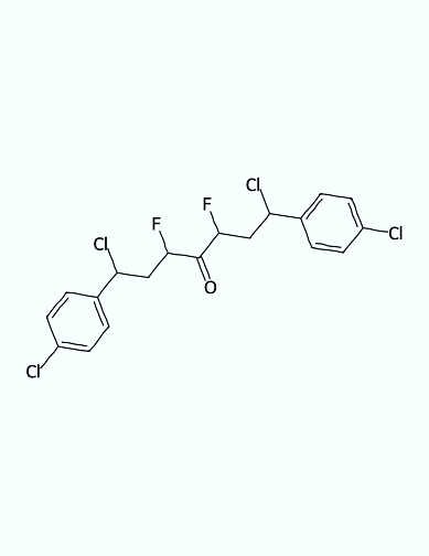 O=C(C(F)CC(Cl)c1ccc(Cl)cc1)C(F)CC(Cl)c1ccc(Cl)cc1